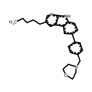 CCCCCc1cnc2[nH]c3ccc(-c4ccc(CN5CCOCC5)cc4)cc3c2c1